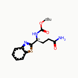 CC(C)(C)OC(=O)N[C@@H](CCC(N)=O)c1nc2ccccc2s1